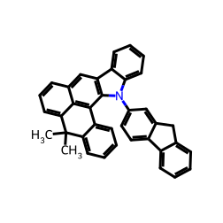 CC1(C)c2ccccc2-c2c3c1cccc3cc1c3ccccc3n(-c3ccc4c(c3)Cc3ccccc3-4)c21